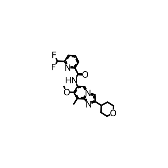 COc1c(NC(=O)c2cccc(C(F)F)n2)cn2cc(C3CCOCC3)nc2c1C